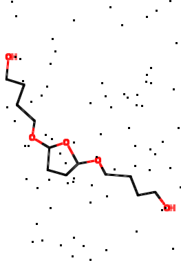 OCCCCOC1CCC(OCCCCO)O1